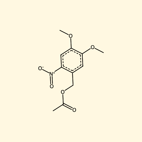 COc1cc(COC(C)=O)c([N+](=O)[O-])cc1OC